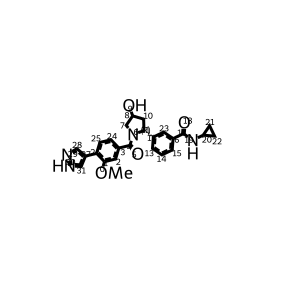 COc1cc(C(=O)N2CC(O)C[C@@H]2c2cccc(C(=O)NC3CC3)c2)ccc1-c1cn[nH]c1